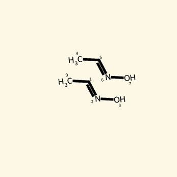 CC=NO.CC=NO